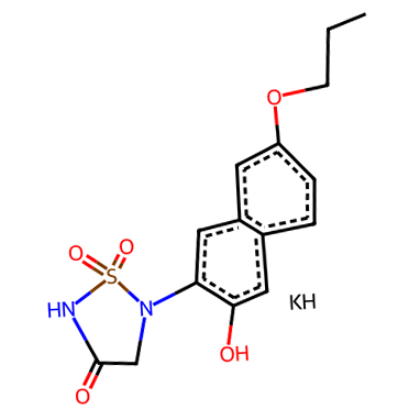 CCCOc1ccc2cc(O)c(N3CC(=O)NS3(=O)=O)cc2c1.[KH]